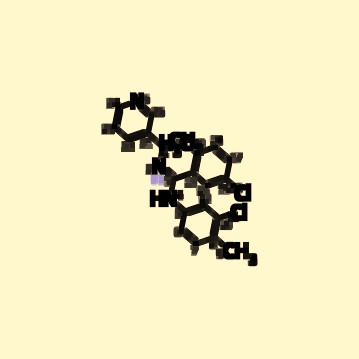 C=C(/N=C(/Nc1ccc(C)c(Cl)c1)c1cc(Cl)ccc1C)c1cccnc1